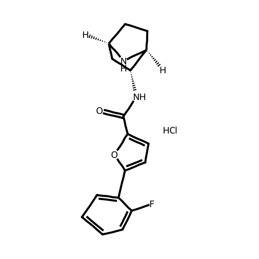 Cl.O=C(N[C@@H]1C[C@H]2CC[C@@H]1N2)c1ccc(-c2ccccc2F)o1